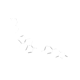 CNCCCOc1cc(C)c(-c2cccc(COc3ccc(Cn4oc(=O)[nH]c4=O)cc3)c2C)c(C)c1